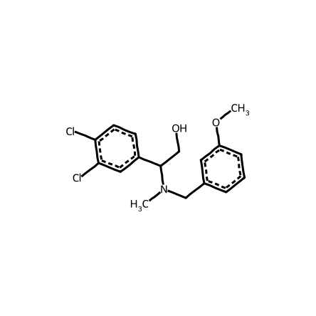 COc1cccc(CN(C)C(CO)c2ccc(Cl)c(Cl)c2)c1